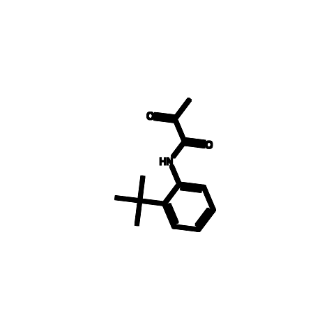 CC(=O)C(=O)Nc1ccccc1C(C)(C)C